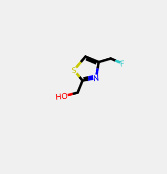 OCc1nc(CF)cs1